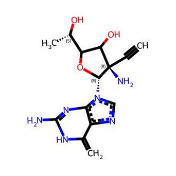 C#C[C@@]1(N)C(O)C([C@H](C)O)O[C@H]1n1cnc2c1N=C(N)NC2=C